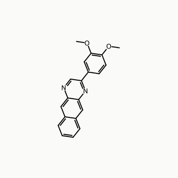 COc1ccc(-c2cnc3cc4ccccc4cc3n2)cc1OC